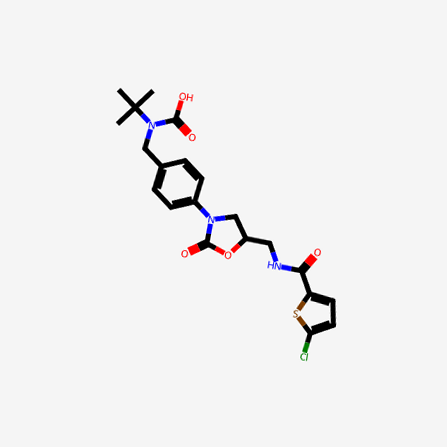 CC(C)(C)N(Cc1ccc(N2CC(CNC(=O)c3ccc(Cl)s3)OC2=O)cc1)C(=O)O